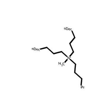 CCCCCCCCCCCCC[N+](C)(CCCCCCCCCCCCC)CCCC(C)C